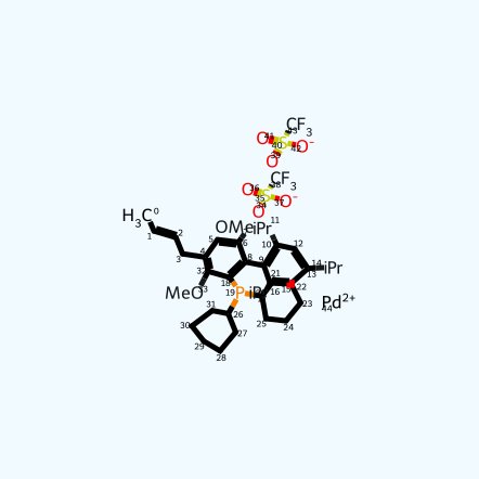 CC=CCc1cc(OC)c(-c2c(C(C)C)cc(C(C)C)cc2C(C)C)c(P(C2CCCCC2)C2CCCCC2)c1OC.O=S(=O)([O-])C(F)(F)F.O=S(=O)([O-])C(F)(F)F.[Pd+2]